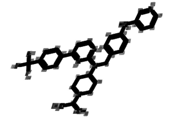 CC(C)N1CCC(N(Cc2ccc(Nc3cccnc3)cc2)c2nccc(-c3ccc(C(F)(F)F)cc3)n2)CC1